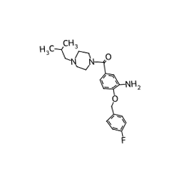 CC(C)CN1CCN(C(=O)c2ccc(OCc3ccc(F)cc3)c(N)c2)CC1